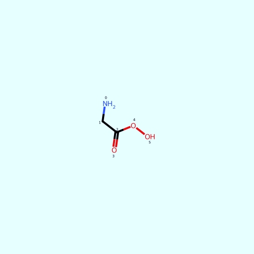 NCC(=O)OO